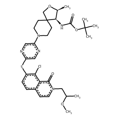 COC(C)Cn1ccc2ccc(Sc3cnc(N4CCC5(CC4)CO[C@@H](C)[C@H]5NC(=O)OC(C)(C)C)cn3)c(Cl)c2c1=O